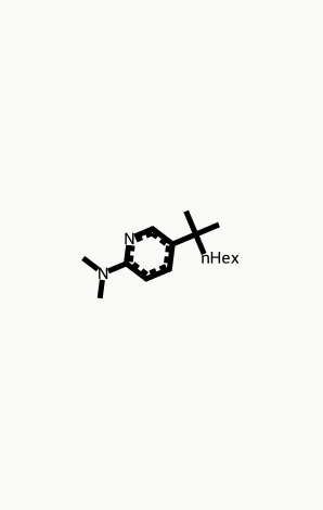 CCCCCCC(C)(C)c1ccc(N(C)C)nc1